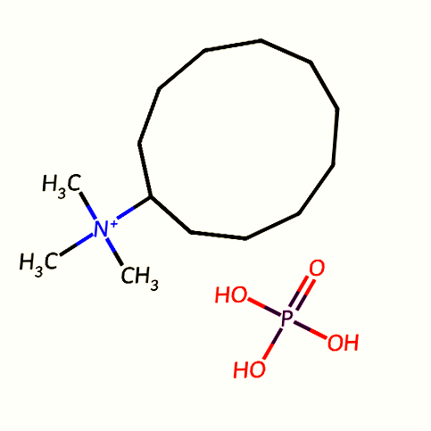 C[N+](C)(C)C1CCCCCCCCCC1.O=P(O)(O)O